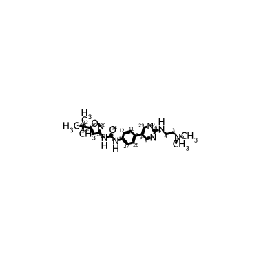 CN(C)CCNc1ncc(-c2ccc(NC(=O)Nc3cc(C(C)(C)C)on3)cc2)cn1